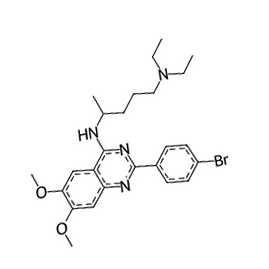 CCN(CC)CCCC(C)Nc1nc(-c2ccc(Br)cc2)nc2cc(OC)c(OC)cc12